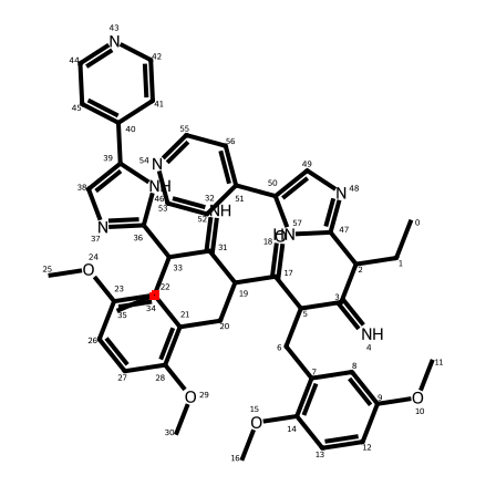 CCC(C(=N)C(Cc1cc(OC)ccc1OC)C(=O)C(Cc1cc(OC)ccc1OC)C(=N)C(CC)c1ncc(-c2ccncc2)[nH]1)c1ncc(-c2ccncc2)[nH]1